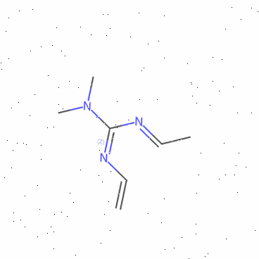 C=C/N=C(\N=CC)N(C)C